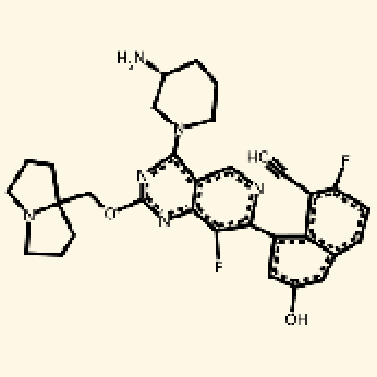 C#Cc1c(F)ccc2cc(O)cc(-c3ncc4c(N5CCC[C@H](N)C5)nc(OCC56CCCN5CCC6)nc4c3F)c12